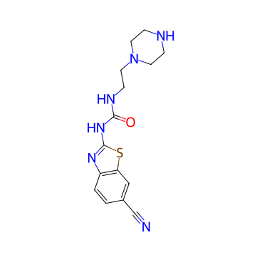 N#Cc1ccc2nc(NC(=O)NCCN3CCNCC3)sc2c1